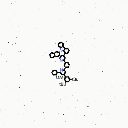 COc1ccccc1-c1cc(-c2cc(C(C)(C)C)cc(C(C)(C)C)c2)cc(-c2cccc(-c3cc(-c4cccc5c6ccccc6n(-c6ccc7ccccc7c6)c45)ccn3)c2)n1